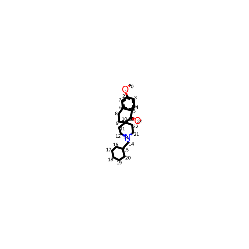 COc1ccc2c(c1)CCC1(CCN(CC3CCCCC3)CC1)C2=O